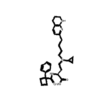 O=C(O)[C@H](CCN(CCCCc1ccc2c(n1)NCCC2)C1CC1)NC(=O)C1(c2ccccc2)CCC1